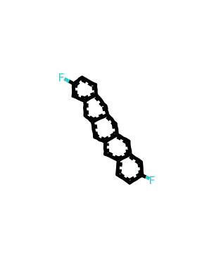 Fc1ccc2cc3cc4cc5cc(F)ccc5cc4cc3cc2c1